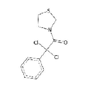 O=C(N1CCSC1)C(Cl)(Cl)c1ccccc1